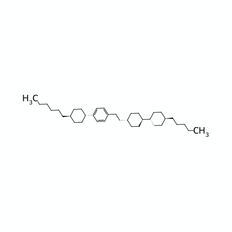 CCCCCC[C@H]1CC[C@H](c2ccc(CC[C@H]3CC[C@H]([C@H]4CC[C@H](CCCCC)CC4)CC3)cc2)CC1